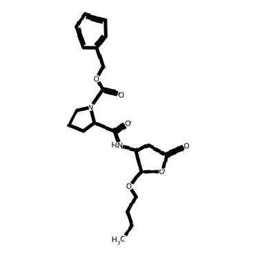 CCCCOC1OC(=O)CC1NC(=O)C1CCCN1C(=O)OCc1ccccc1